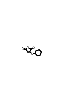 O=C1CC(SC2CCCCC2)C(=O)O1